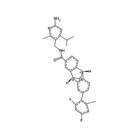 Cc1cc(F)cc(F)c1-c1ccc2c(c1)[C@H]1O[C@@H]2c2ccc(C(=O)NCc3c(C(C)C)cc(N)nc3C)cc21